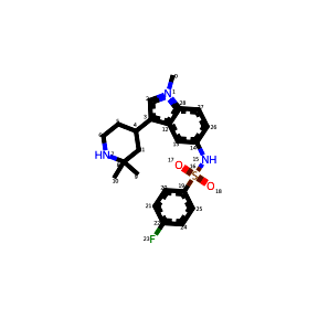 Cn1cc(C2CCNC(C)(C)C2)c2cc(NS(=O)(=O)c3ccc(F)cc3)ccc21